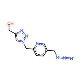 [N-]=[N+]=NCc1ccc(Cn2cc(CO)nn2)nc1